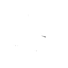 CCCCC1CC(C)=C[C@@H](C=O)C1CCC